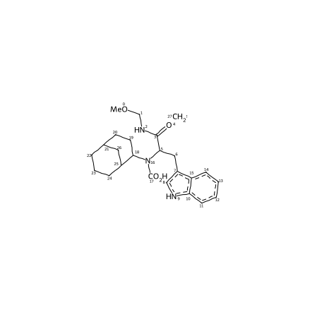 COCNC(=O)C(Cc1c[nH]c2ccccc12)N(C(=O)O)C1CCC2CCCC1C2.[CH2]